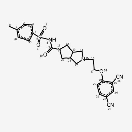 Cc1ccc(S(=O)(=O)NC(=O)N2CC3CN(CCOc4ccc(C#N)cc4C#N)CC3C2)cc1